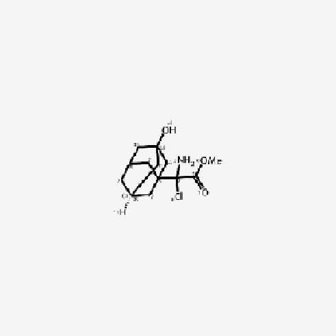 COC(=O)C(N)(Cl)C12CC3C[C@@H](CC(O)(C3)C1)C2